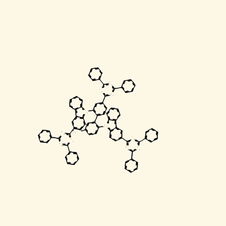 N#Cc1ccc(-n2c3ccccc3c3cc(-c4nc(-c5ccccc5)nc(-c5ccccc5)n4)ccc32)c(-c2ccc(-c3nc(-c4ccccc4)nc(-c4ccccc4)n3)cc2-n2c3ccccc3c3cc(-c4nc(-c5ccccc5)nc(-c5ccccc5)n4)ccc32)c1